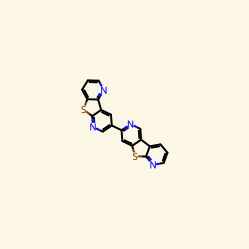 c1cnc2c(c1)sc1ncc(-c3cc4sc5ncccc5c4cn3)cc12